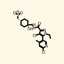 CCn1nc(C(=O)NC[C@]2(O)CC[C@@H](C[SH](=O)=O)CC2)c(Cl)c1-c1cnc(Cl)cc1C